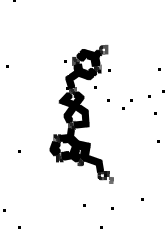 FC(F)(F)Cc1cc2c(N3CCC4(CN(Cc5cnc(Cl)cn5)C4)C3)ncnc2s1